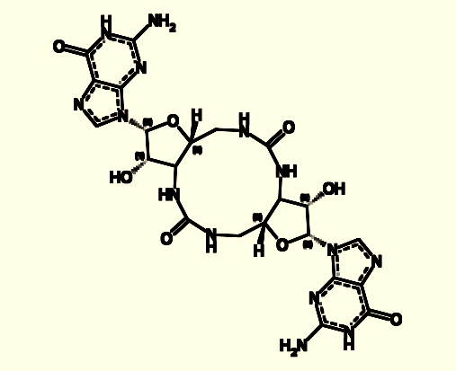 Nc1nc2c(ncn2[C@@H]2O[C@@H]3CNC(=O)NC4[C@@H](CNC(=O)NC3[C@@H]2O)O[C@@H](n2cnc3c(=O)[nH]c(N)nc32)[C@H]4O)c(=O)[nH]1